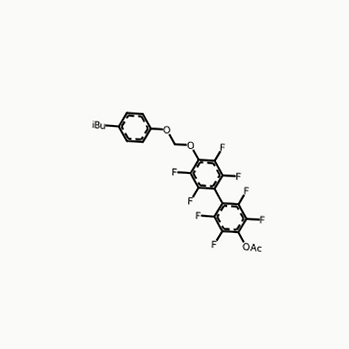 CCC(C)c1ccc(OCOc2c(F)c(F)c(-c3c(F)c(F)c(OC(C)=O)c(F)c3F)c(F)c2F)cc1